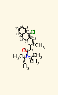 CC(C=CC(=O)N(C(C)C)C(C)C)=CC1=C(Cl)c2ccccc2CC1